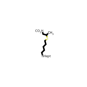 CCCCCCCCCCCCSC(C)CC(=O)O